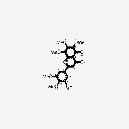 COc1cc(-c2cc(=O)c3c(O)c(OC)c(OC)c(OC)c3o2)cc(O)c1OC